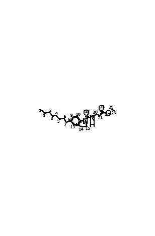 CCCCCCCCc1ccc2c(c1)CCN2C(=O)NCCC(=O)OCC